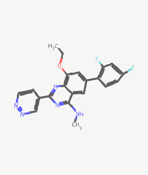 CCOc1cc(-c2ccc(F)cc2F)cc2c(NC)nc(-c3ccnnc3)nc12